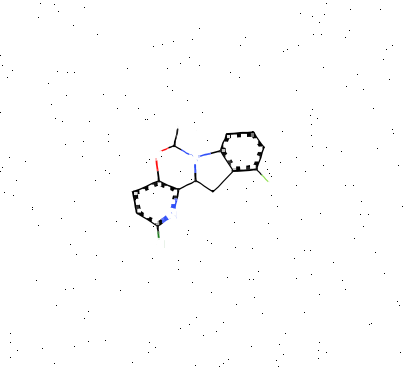 O=C(O)C1Oc2ccc(Cl)nc2C2Cc3c(F)cccc3N12